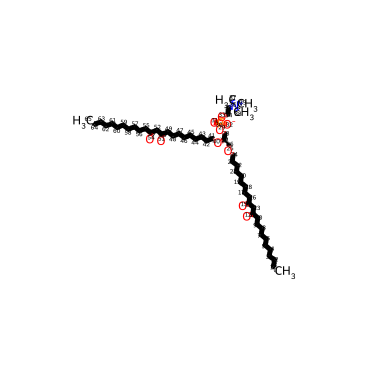 CCCCCCCCCCCC(=O)CC(=O)CCCCCCCCCOC[C@H](COP(=O)([O-])OCC[N+](C)(C)C)OCCCCCCCCCC(=O)CC(=O)CCCCCCCCCCC